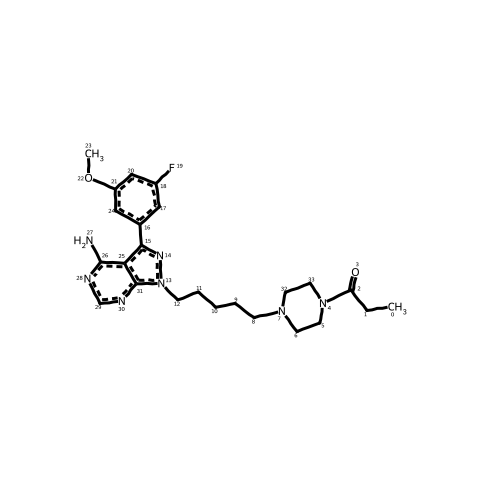 CCC(=O)N1CCN(CCCCCn2nc(-c3cc(F)cc(OC)c3)c3c(N)ncnc32)CC1